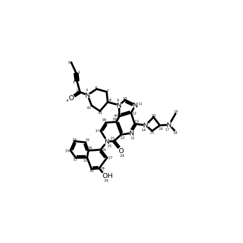 CC#CC(=O)N1CCC(n2cnc3c(N4CC(N(C)C)C4)nc4c(=O)n(-c5cc(O)cc6ccccc56)ccc4c32)CC1